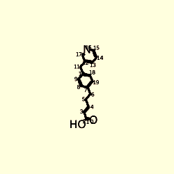 O=C(O)/C=C/CCc1ccc(Cc2cccnc2)cc1